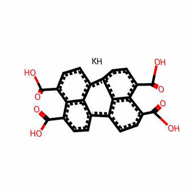 O=C(O)c1ccc2c3ccc(C(=O)O)c4c(C(=O)O)ccc(c5ccc(C(=O)O)c1c25)c43.[KH]